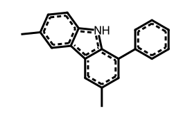 Cc1ccc2[nH]c3c(-c4ccccc4)cc(C)cc3c2c1